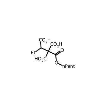 CCCCCOC(=O)C(C(=O)O)(C(=O)O)C(CC)C(=O)O